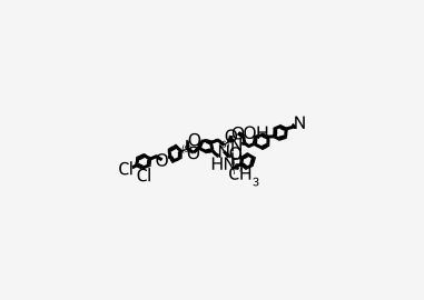 C[C@H](NC(=O)N1Cc2cc3c(cc2C[C@H]1C(=O)NC(Cc1ccc(-c2ccc(C#N)cc2)cc1)C(=O)O)OC[C@H](c1ccc(OCc2ccc(Cl)c(Cl)c2)cc1)O3)c1ccccc1